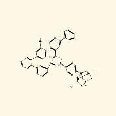 N#Cc1cccc(-c2ccccc2-c2cccc(-c3nc(-c4ccc(C56C[C@H]7C[C@H](C5)C[C@@H](C6)C7)cc4)nc(-c4cccc(-c5ccccc5)c4)n3)c2)c1